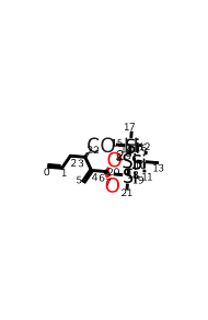 C=CCC(C(=C)C(=O)O[Si]([Si](C)(C)C)([Si](C)(C)C)[Si](C)(C)C)C(=O)O